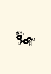 COc1ccc(C(Cl)c2ccc3[nH]c(=O)ccc3c2)cc1